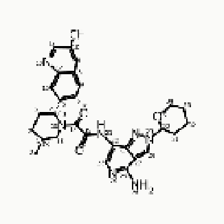 C[C@H]1CC[C@H](c2ccc3cc(Cl)cnc3c2)N(C(=O)C(=O)Nc2cnc(N)c3cn(C4CCCCO4)nc23)C1